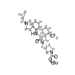 CC(C)(C)OC(=O)N1CC[C@@H](CN(Cc2ccccc2C(F)(F)F)C(=O)CNc2cccc3c2CCN(CC2CC2)C3)C1